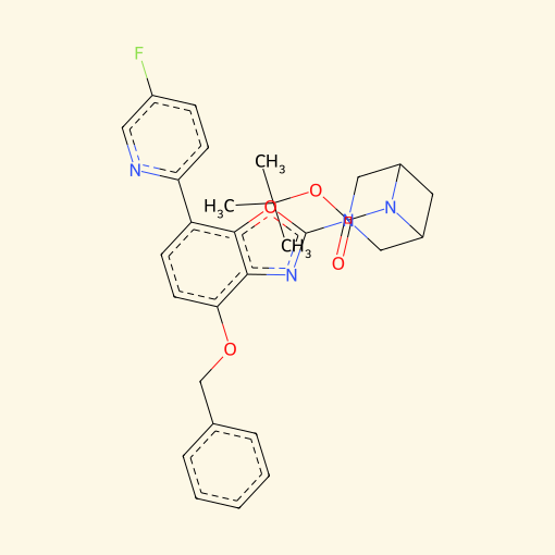 CC(C)(C)OC(=O)N1C2CC1CN(c1nc3c(OCc4ccccc4)ccc(-c4ccc(F)cn4)c3o1)C2